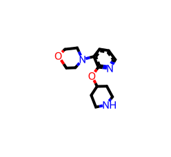 c1cnc(OC2CCNCC2)c(N2CCOCC2)c1